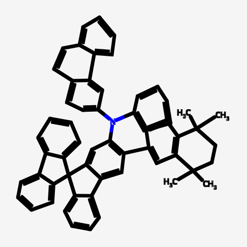 CC1(C)CCC(C)(C)c2cc(-c3cc4c(cc3N(c3ccccc3)c3ccc5ccc6ccccc6c5c3)C3(c5ccccc5-c5ccccc53)c3ccccc3-4)ccc21